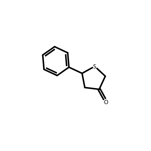 O=C1CSC(c2ccccc2)C1